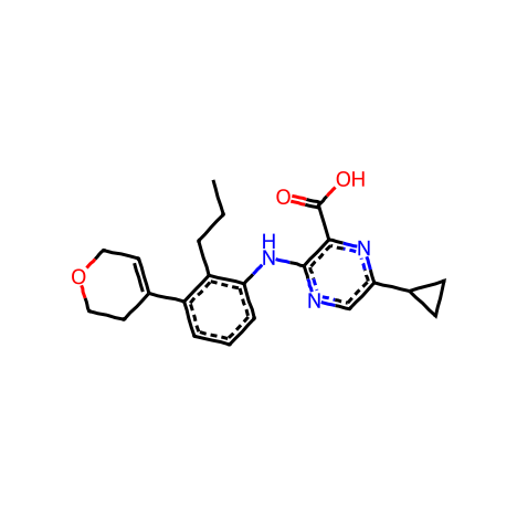 CCCc1c(Nc2ncc(C3CC3)nc2C(=O)O)cccc1C1=CCOCC1